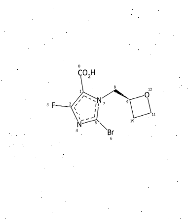 O=C(O)c1c(F)nc(Br)n1C[C@@H]1CCO1